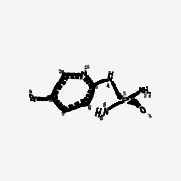 NP(N)(=O)Nc1ccc(Br)cn1